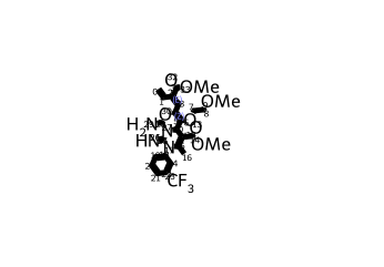 C=C/C(=C\C=C(/OCCOC)C1C(C(=O)OC)=C(C)N(c2cccc(C(F)(F)F)c2)C(=N)N1C(N)=O)C(=O)OC